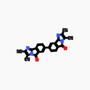 N#Cc1nc2n(c1C#N)C(=O)c1cc(-c3ccc4c(c3)-c3nc(C#N)c(C#N)n3C4=O)ccc1-2